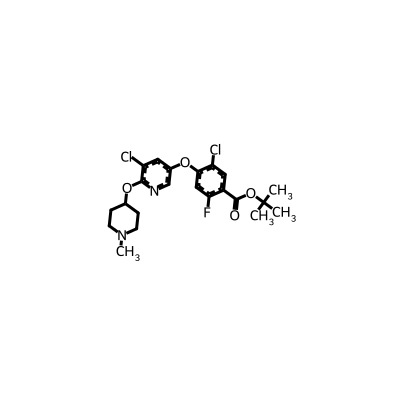 CN1CCC(Oc2ncc(Oc3cc(F)c(C(=O)OC(C)(C)C)cc3Cl)cc2Cl)CC1